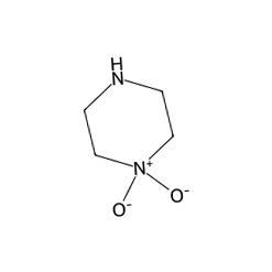 [O-][N+]1([O-])CCNCC1